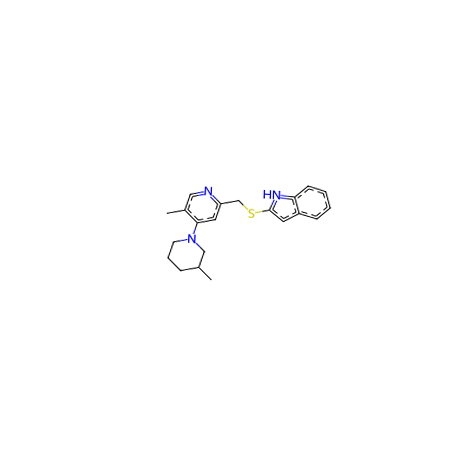 Cc1cnc(CSc2cc3ccccc3[nH]2)cc1N1CCCC(C)C1